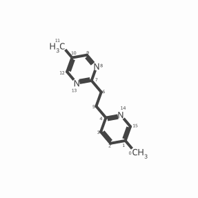 Cc1ccc(CCc2ncc(C)cn2)nc1